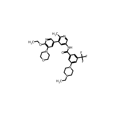 CCOc1ncc(-c2cc(NC(=O)c3cc(N4CCN(CC)CC4)cc(C(F)(F)F)c3)cnc2C)cc1N1CCOCC1